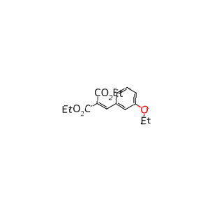 CCOC(=O)C(=Cc1cccc(OCC)c1)C(=O)OCC